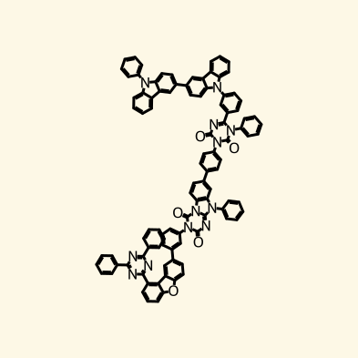 O=c1nc(-c2cccc(-n3c4ccccc4c4cc(-c5ccc6c(c5)c5ccccc5n6-c5ccccc5)ccc43)c2)n(-c2ccccc2)c(=O)n1-c1ccc(-c2ccc3c(c2)n(-c2ccccc2)c2nc(=O)n(-c4cccc(-c5ccc6oc7cccc(-c8nc(-c9ccccc9)nc(-c9ccccc9)n8)c7c6c5)c4)c(=O)n32)cc1